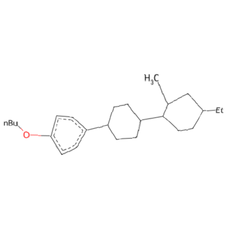 CCCCOc1ccc(C2CCC(C3CCC(CC)CC3C)CC2)cc1